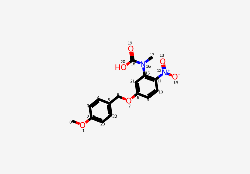 COc1ccc(COc2ccc([N+](=O)[O-])c(N(C)C(=O)O)c2)cc1